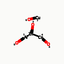 [O]=[Al][Zn](=[O])[Co]=[O].[O]=[Cu]